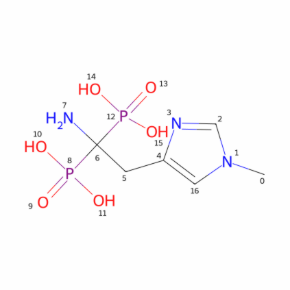 Cn1cnc(CC(N)(P(=O)(O)O)P(=O)(O)O)c1